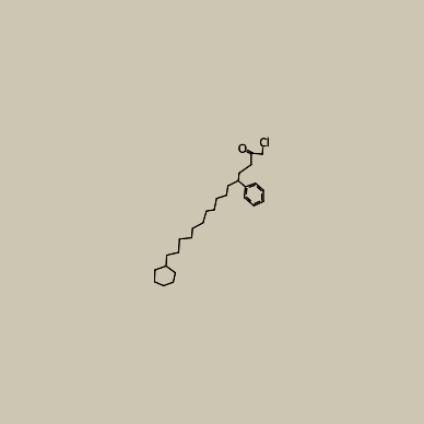 O=C(CCl)CCC(CCCCCCCCCCCC1CCCCC1)c1ccccc1